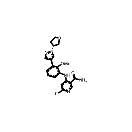 COc1c(Nc2cc(Cl)ncc2C(N)=O)cccc1-c1cnn([C@@H]2CCOC2)c1